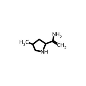 C=C(N)C1CC(C)CN1